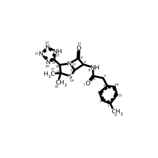 Cc1ccc(CC(=O)NC2C(=O)N3C2SC(C)(C)C3c2nnn[nH]2)cc1